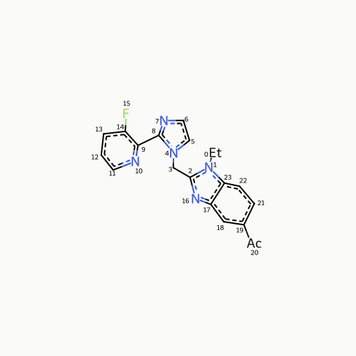 CCn1c(Cn2ccnc2-c2ncccc2F)nc2cc(C(C)=O)ccc21